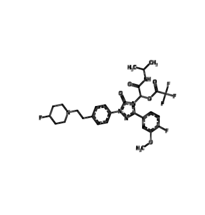 COc1cc(-c2nn(-c3ccc(CCN4CCC(F)CC4)cc3)c(=O)n2C(OC(=O)C(F)(F)F)C(=O)NC(C)C)ccc1F